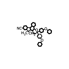 CC1(C)c2cc(C#N)ccc2-c2c1c1c(c3ccccc23)OC(C2=CC=C(Oc3ccccc3)CC2)(c2ccc(Oc3ccccc3)cc2)C=C1